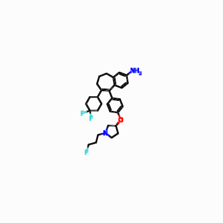 Nc1ccc2c(c1)CCCC(C1CCC(F)(F)CC1)=C2c1ccc(O[C@H]2CCN(CCCF)C2)cc1